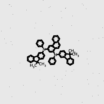 CC1(C)c2ccccc2-c2cc(N(c3ccccc3)c3cc(N(c4ccccc4)c4ccc5c(c4)-c4ccccc4C5(C)C)c4ccc5ccccc5c4c3)ccc21